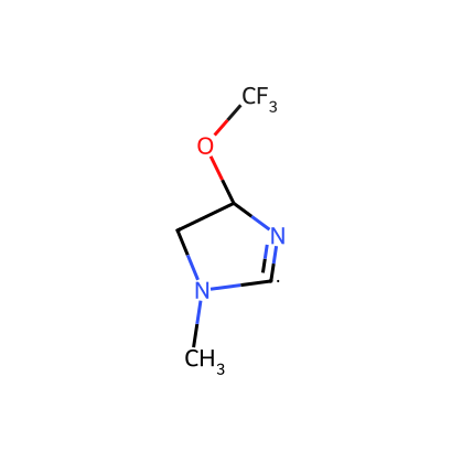 CN1[C]=NC(OC(F)(F)F)C1